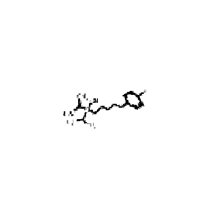 CC(C)[Si](O)(CCCCCc1ccc(F)cc1)C(C)C